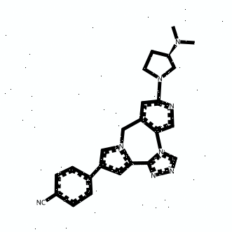 CN(C)[C@@H]1CCN(c2cc3c(cn2)-n2cnnc2-c2cc(-c4ccc(C#N)cc4)cn2C3)C1